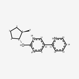 C[C@@H]1CCC[C@H]1Oc1ncc(-c2ccccn2)cn1